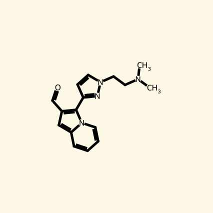 CN(C)CCn1ccc(-c2c(C=O)cc3ccccn23)n1